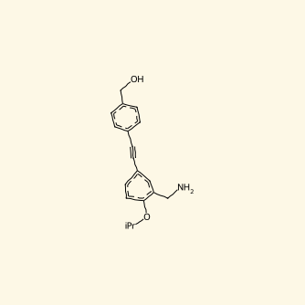 CC(C)Oc1ccc(C#Cc2ccc(CO)cc2)cc1CN